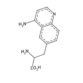 Nc1ccnc2ccc(CC(N)C(=O)O)cc12